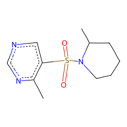 Cc1ncncc1S(=O)(=O)N1CCCCC1C